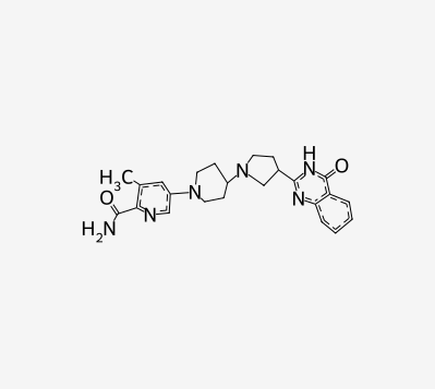 Cc1cc(N2CCC(N3CCC(c4nc5ccccc5c(=O)[nH]4)C3)CC2)cnc1C(N)=O